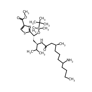 CCCCC(N)CCC[C@H](C)CC(=O)N[C@H](C[C@@H](O[Si](C)(C)C(C)(C)C)c1nc(C(=O)OC)cs1)C(C)C